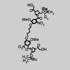 COc1cc(C(=O)N2CC(C(=O)CO)CC2CO[Si](C)(C)C(C)(C)C)c([N+](=O)[O-])cc1OCCCCCOc1cc([N+](=O)[O-])c(C(=O)N2C[C@H](C(=O)CO)C[C@H]2CO[Si](C)(C)C(C)(C)C)cc1OC